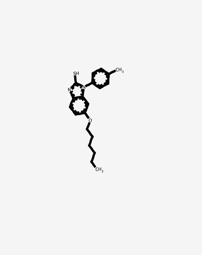 CCCCCCOc1ccc2nc(S)n(-c3ccc(C)cc3)c2c1